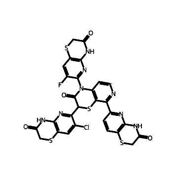 O=C1CSc2ccc(-c3n[c]cc4c3SC(c3nc5c(cc3Cl)SCC(=O)N5)C(=O)N4c3nc4c(cc3F)SCC(=O)N4)nc2N1